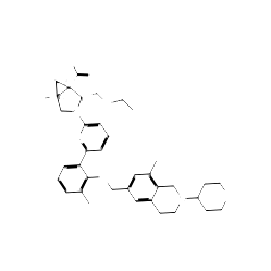 CCOC[C@H]1N(c2cccc(-c3cccc(C)c3OCc3cc(C)c4c(c3)CCN(C3CCOCC3)C4)n2)C[C@@H]2C[C@@]21C(=O)O